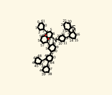 c1ccc(-c2ccc(N(c3ccc(-c4cccc5sc6ccccc6c45)cc3)c3ccc(-c4ccc(-c5ccccc5)c(-c5ccccc5)c4)cc3-c3ccccc3)cc2)cc1